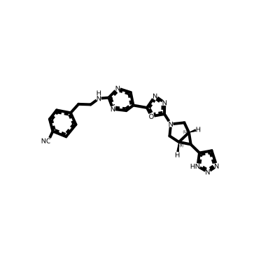 N#Cc1ccc(CCNc2ncc(-c3nnc(N4C[C@@H]5C(c6cnn[nH]6)[C@@H]5C4)o3)cn2)cc1